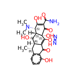 C[C@H]1c2cccc(O)c2C(=O)C2=C(O)[C@]3(O)C(=O)C(C(N)=O)=C(O)[C@@H](N(C)C)[C@H]3[C@@H](O)[C@@H]21.N#N